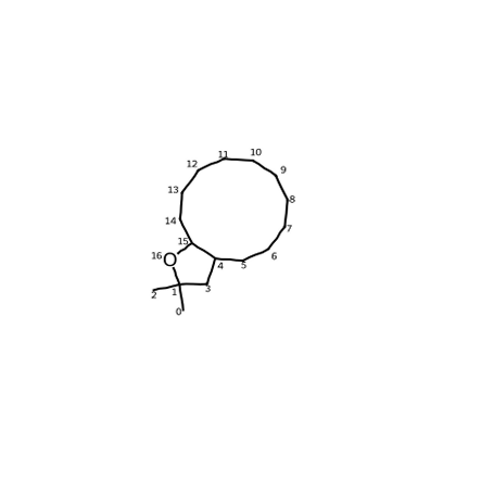 CC1(C)CC2CCCCCCCCCCC2O1